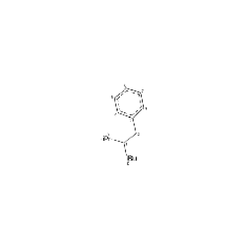 CCC(C)C(Cc1ccccc1)[C](C)C